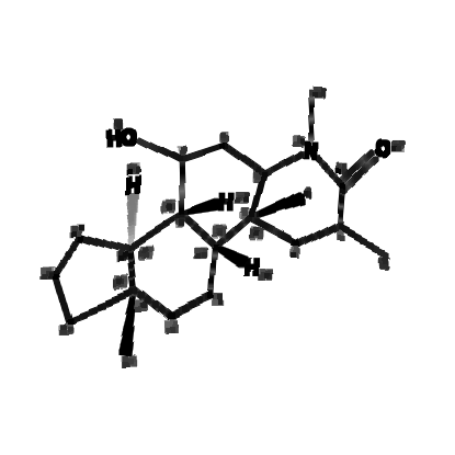 CC1C[C@@]2(C)C(CC(O)[C@@H]3[C@H]2CC[C@]2(C)CCC[C@@H]32)N(C)C1=O